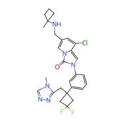 Cn1cnnc1CC1(c2cccc(-n3cc4c(Cl)cc(CNC5(C)CCC5)cn4c3=O)c2)CC(F)(F)C1